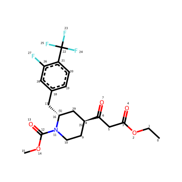 CCOC(=O)CC(=O)[C@H]1CCN(C(=O)OC)[C@H](Cc2ccc(C(F)(F)F)c(F)c2)C1